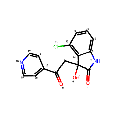 O=C(CC1(O)C(=O)Nc2cccc(Cl)c21)c1ccncc1